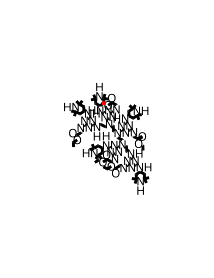 CCOC(=O)C=Nc1nc(NCCN(CCN(CCN(CCNc2nc(N=CC(=O)OCC)nc(NC3CC(C)(C)NC(C)(C)C3)n2)c2nc(N=CC(=O)OCC)nc(NC3CC(C)(C)NC(C)(C)C3)n2)c2nc(N=CC(=O)OCC)nc(NC3CC(C)(C)NC(C)(C)C3)n2)c2nc(N=CC(=O)OCC)nc(NC3CC(C)(C)NC(C)(C)C3)n2)nc(NC2CC(C)(C)NC(C)(C)C2)n1